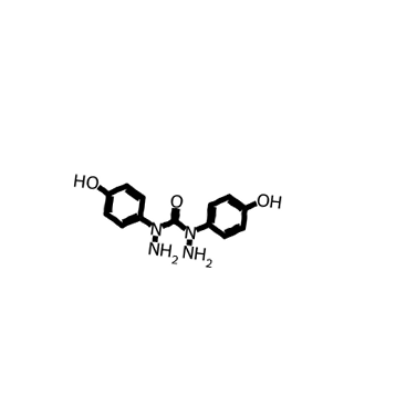 NN(C(=O)N(N)c1ccc(O)cc1)c1ccc(O)cc1